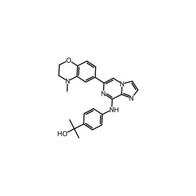 CN1CCOc2ccc(-c3cn4ccnc4c(Nc4ccc(C(C)(C)O)cc4)n3)cc21